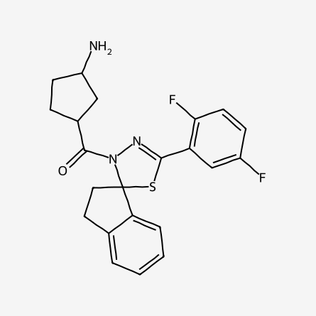 NC1CCC(C(=O)N2N=C(c3cc(F)ccc3F)SC23CCc2ccccc23)C1